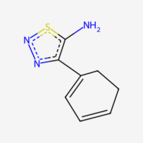 Nc1snnc1C1=CC=CCC1